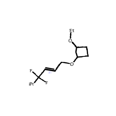 CCOC1CCC1OC/C=C/C(F)(F)C(C)C